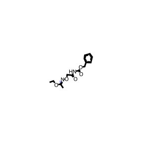 CCO/C(C)=N/OCC(=O)NC(=O)OCc1ccccc1